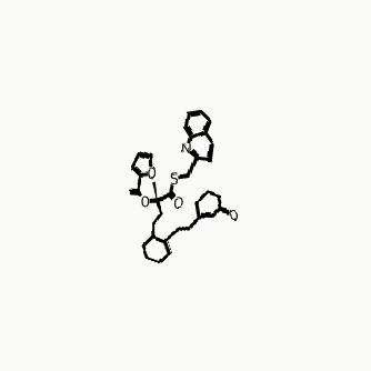 C=C(O[C@@](C)(CCC1CCCCC1CCC1=CC(=O)CCC1)C(=O)SCc1ccc2ccccc2n1)c1ccco1